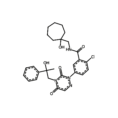 CC(O)(Cn1c(=O)cnn(-c2ccc(Cl)c(C(=O)NCC3(O)CCCCCC3)c2)c1=O)c1ccccc1